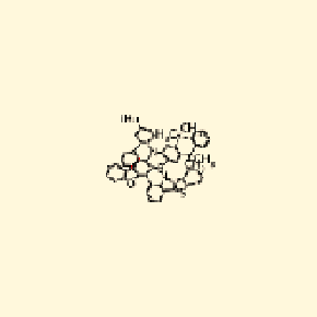 CC(C)(C)c1ccc(N2c3cc4c(cc3B3c5c2cc2c(oc6ccccc62)c5-c2cccc5c6sc7ccccc7c6n3c25)C(C)(C)c2ccccc2C4(C)C)c(-c2ccccc2)c1